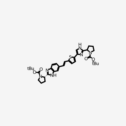 CC(C)(C)OC(=O)N1CCCC1c1nc(-c2ccc(/C=C/c3ccc4nc([C@@H]5CCCN5C(=O)OC(C)(C)C)[nH]c4c3)s2)c[nH]1